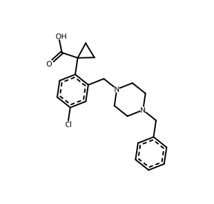 O=C(O)C1(c2ccc(Cl)cc2CN2CCN(Cc3ccccc3)CC2)CC1